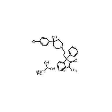 CCCCCC(O)O.CN(C)C(=O)C(CCN1CCC(O)(c2ccc(Cl)cc2)CC1)(c1ccccc1)c1ccccc1.Cl